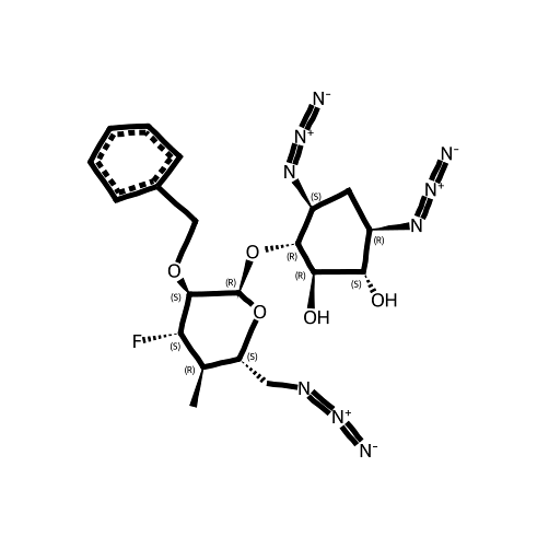 C[C@H]1[C@H](F)[C@@H](OCc2ccccc2)[C@@H](O[C@H]2[C@H](O)[C@@H](O)[C@H](N=[N+]=[N-])C[C@@H]2N=[N+]=[N-])O[C@@H]1CN=[N+]=[N-]